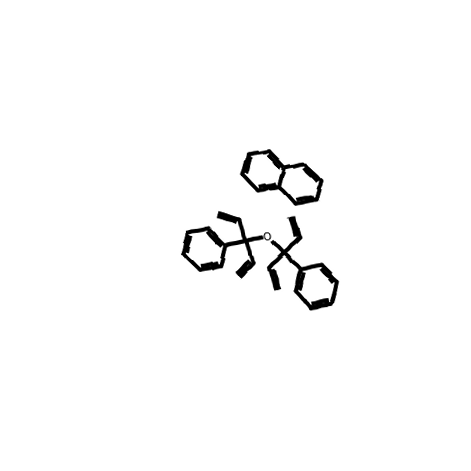 C=CC(C=C)(OC(C=C)(C=C)c1ccccc1)c1ccccc1.c1ccc2ccccc2c1